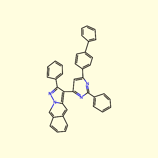 c1ccc(-c2ccc(-c3cc(-c4c(-c5ccccc5)nn5cc6ccccc6cc45)nc(-c4ccccc4)n3)cc2)cc1